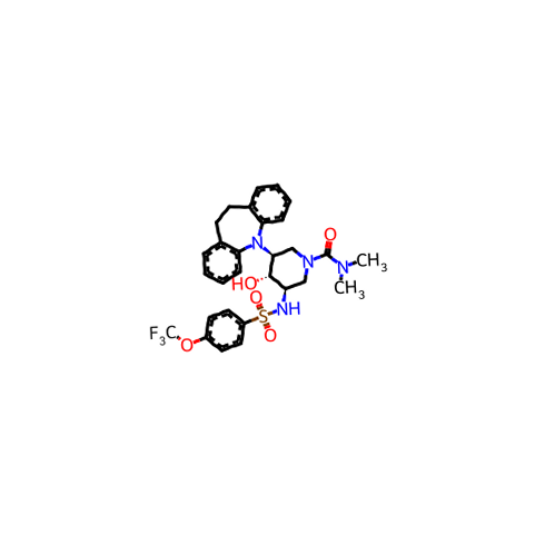 CN(C)C(=O)N1C[C@@H](NS(=O)(=O)c2ccc(OC(F)(F)F)cc2)[C@H](O)[C@@H](N2c3ccccc3CCc3ccccc32)C1